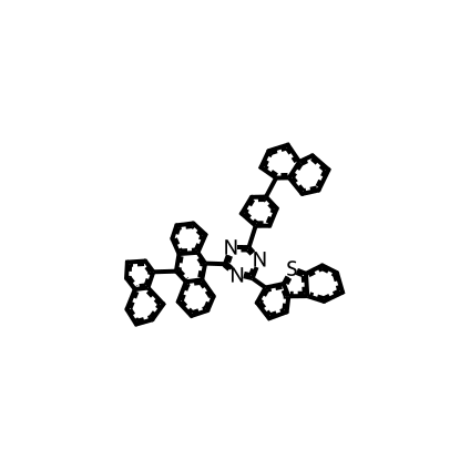 c1ccc2c(-c3ccc(-c4nc(-c5c6ccccc6c(-c6cccc7ccccc67)c6ccccc56)nc(-c5cccc6c5sc5ccccc56)n4)cc3)cccc2c1